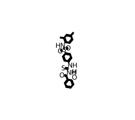 Cc1ccc(NS(=O)(=O)c2ccc(NC(=S)NC(=O)c3ccccc3O)cc2)c(C)c1